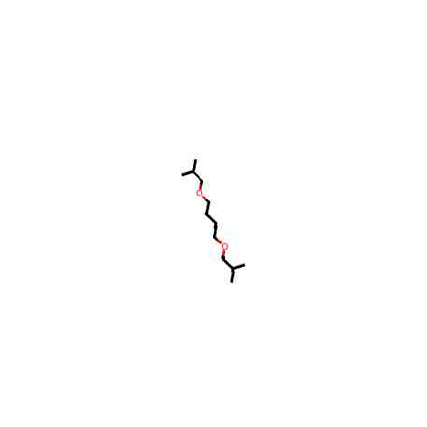 CC(C)COCCCCOCC(C)C